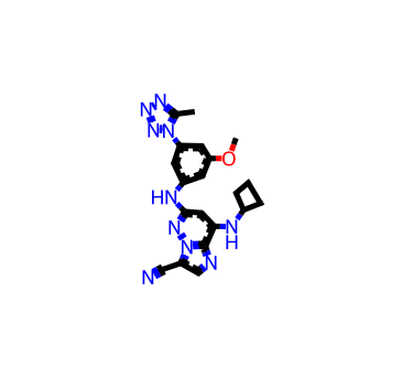 COc1cc(Nc2cc(NC3CCC3)c3ncc(C#N)n3n2)cc(-n2nnnc2C)c1